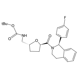 CC(C)(C)OC(=O)NC[C@H]1CC[C@H](C(=O)N2CCc3ccccc3[C@@H]2c2ccc(F)cc2)O1